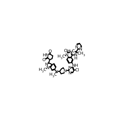 CN(c1ccc2c(C3CCC(=O)NC3=O)nn(C)c2c1)C1CCN(c2ncc(Cl)c(Nc3ccc4c(c3)c(NC(C)(C)c3ncccn3)nc(=O)n4C)n2)CC1